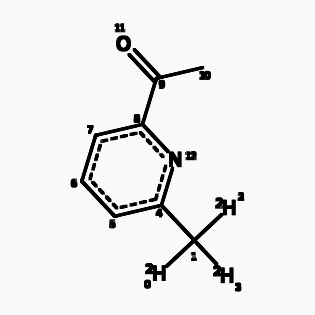 [2H]C([2H])([2H])c1cccc(C(C)=O)n1